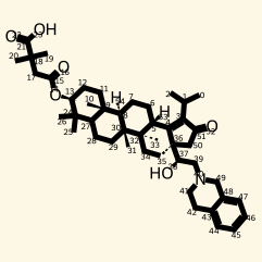 CC(C)C1=C2[C@H]3CC[C@@H]4[C@@]5(C)CC[C@H](OC(=O)CC(C)(C)C(=O)O)C(C)(C)C5CC[C@@]4(C)[C@]3(C)CC[C@@]2([C@H](O)CN2CCc3ccccc3C2)CC1=O